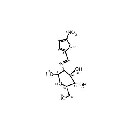 O=[N+]([O-])c1ccc(C=N[C@H]2C(O)O[C@H](CO)[C@@H](O)[C@@H]2O)o1